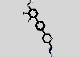 CC/C=C/C1CCC(c2ccc(-c3ccc(OCC)c(F)c3F)cc2)CO1